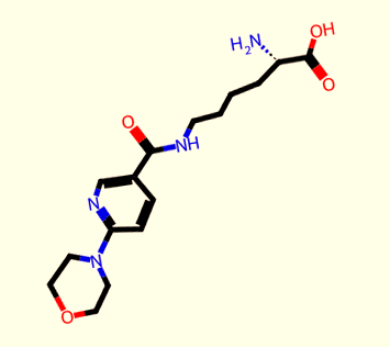 N[C@@H](CCCCNC(=O)c1ccc(N2CCOCC2)nc1)C(=O)O